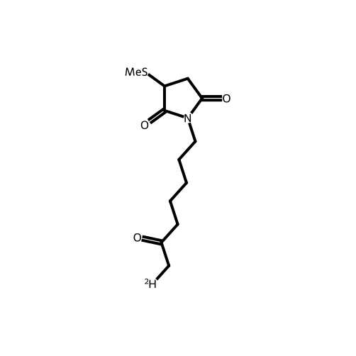 [2H]CC(=O)CCCCCN1C(=O)CC(SC)C1=O